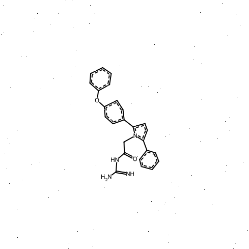 N=C(N)NC(=O)Cn1c(-c2ccccc2)ccc1-c1ccc(Oc2ccccc2)cc1